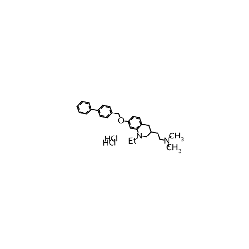 CCN1CC(CCN(C)C)Cc2ccc(OCc3ccc(-c4ccccc4)cc3)cc21.Cl.Cl